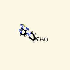 O=CC1CCN(c2ccnc3nsnc23)CC1